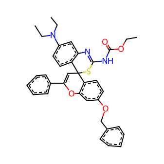 CCOC(=O)NC1=Nc2cc(N(CC)CC)ccc2C2(C=C(c3ccccc3)Oc3cc(OCc4ccccc4)ccc32)S1